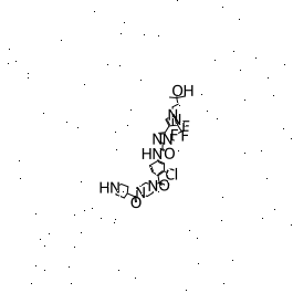 Cn1c(-c2cn(CCC(C)(C)O)nc2C(F)(F)F)cnc1C(=O)Nc1ccc(C(=O)N2CCN(C(=O)C3CCNCC3)CC2)c(Cl)c1